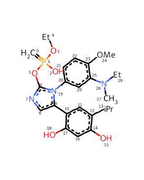 C=P(O)(OCC)Oc1ncc(-c2cc(C(C)C)c(O)cc2O)n1-c1ccc(OC)c(N(C)CC)c1